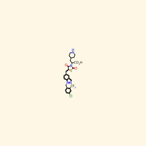 O=C(O)C(CC1CCNCC1)N1C(=O)SC(=Cc2ccc3c(cnn3Cc3ccc(Cl)cc3C(F)(F)F)c2)C1=O